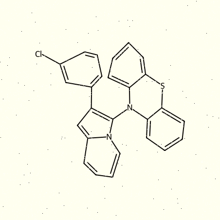 Clc1cccc(-c2cc3ccccn3c2N2c3ccccc3Sc3ccccc32)c1